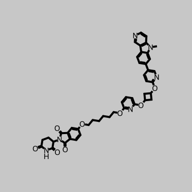 Cn1c2ccncc2c2ccc(-c3ccc(OC4CC(Oc5cccc(OCCCCCCOc6ccc7c(c6)C(=O)N(C6CCC(=O)NC6=O)C7=O)n5)C4)nc3)cc21